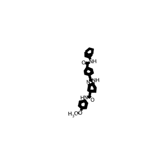 COc1ccc(NC(=O)c2ccc3[nH]c(-c4ccc(C(=O)NC5CC6CCC5C6)cc4)nc3c2)cc1